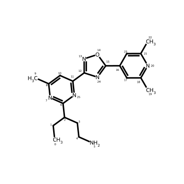 CCC(CCN)c1nc(C)cc(-c2noc(-c3cc(C)nc(C)c3)n2)n1